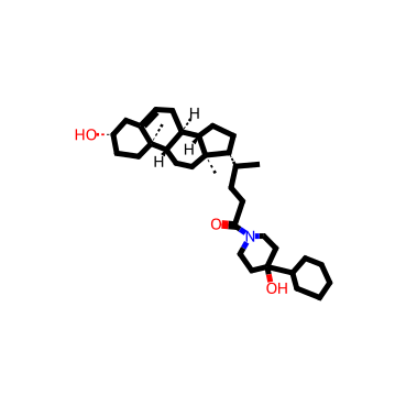 CC(CCC(=O)N1CCC(O)(C2CCCCC2)CC1)[C@H]1CC[C@H]2[C@@H]3CC=C4C[C@@H](O)CC[C@]4(C)[C@H]3CC[C@]12C